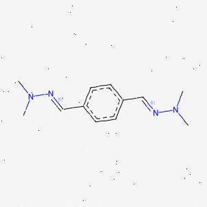 CN(C)/N=C/c1ccc(/C=N/N(C)C)cc1